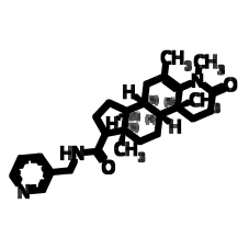 CC1=C2N(C)C(=O)CC[C@]2(C)[C@@H]2CC[C@]3(C)C(C(=O)NCc4cccnc4)CC[C@H]3[C@@H]2C1